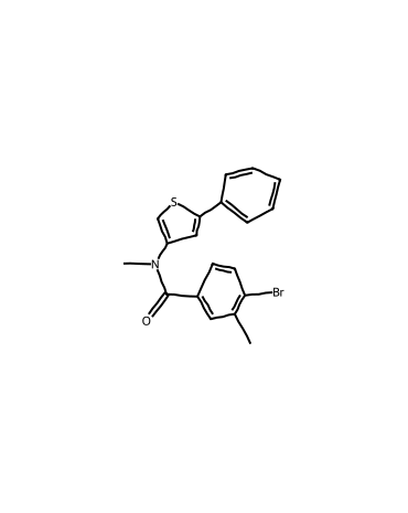 Cc1cc(C(=O)N(C)c2csc(-c3ccccc3)c2)ccc1Br